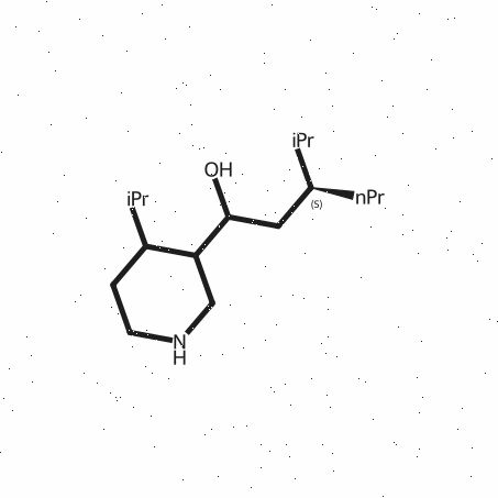 CCC[C@@H](CC(O)C1CNCCC1C(C)C)C(C)C